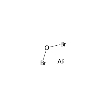 BrOBr.[Al]